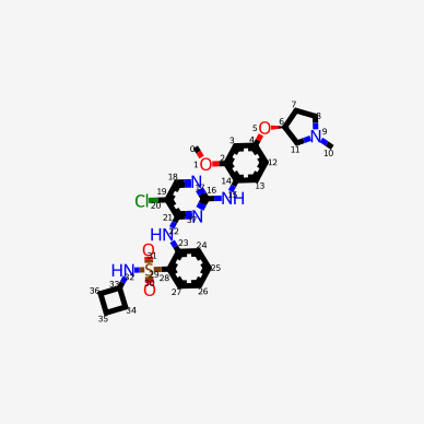 COc1cc(O[C@H]2CCN(C)C2)ccc1Nc1ncc(Cl)c(Nc2ccccc2S(=O)(=O)NC2CCC2)n1